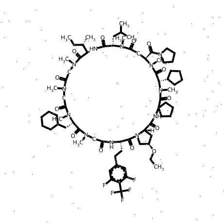 CCO[C@@H]1C[C@H]2C(=O)NC3(CCCC3)C(=O)N(C)[C@@H](C3CCCC3)C(=O)N(C)[C@H](C(=O)N3CCCC3)CC(=O)N(C)[C@@H](CC(C)C)C(=O)N[C@@H]([C@@H](C)CC)C(=O)N(C)CC(=O)N(C)CC(=O)N(C)[C@@H](CC3CCCCC3)C(=O)N(C)CC(=O)N[C@@H](CCc3cc(F)c(C(F)(F)F)c(F)c3)C(=O)N2C1